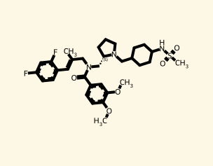 COc1ccc(C(=O)N(CC(C)=Cc2ccc(F)cc2F)C[C@@H]2CCCN2CC2CCC(NS(C)(=O)=O)CC2)cc1OC